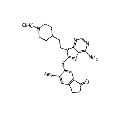 C#Cc1cc2c(cc1Sc1nc3c(N)ncnc3n1CCC1CCN(C=O)CC1)C(=O)CC2